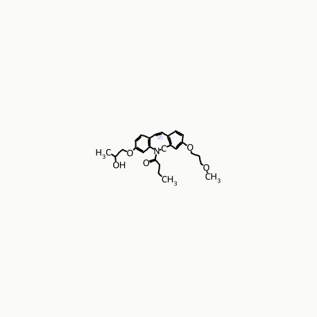 CCCC(=O)N1Cc2cc(OCCCOC)ccc2/C=C\c2ccc(OCC(C)O)cc21